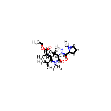 CCOC(=O)/C(C)=C/[C@H](C(C)C)N(C)C(=O)[C@@H](NC(=O)C1CCCN1C)C(C)(C)C